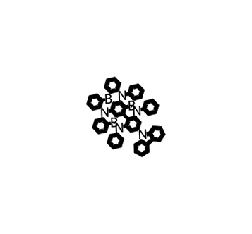 c1ccc(N2B3c4ccccc4N4c5ccccc5B5c6ccccc6N6c7ccccc7B7c8c(c3c4c5c86)-c3c2cc(-n2c4ccccc4c4ccccc42)cc3N7c2ccccc2)cc1